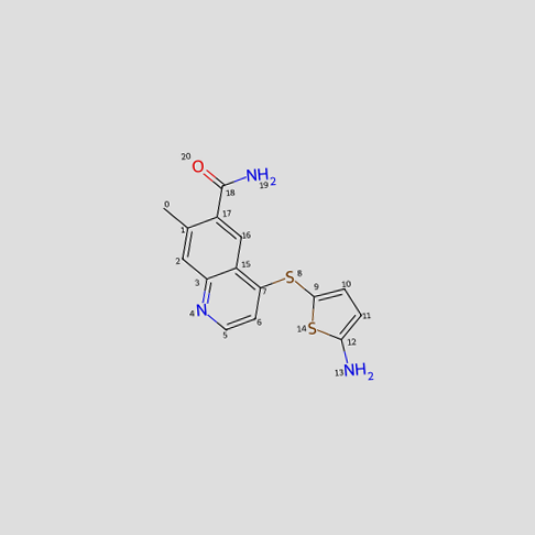 Cc1cc2nccc(Sc3ccc(N)s3)c2cc1C(N)=O